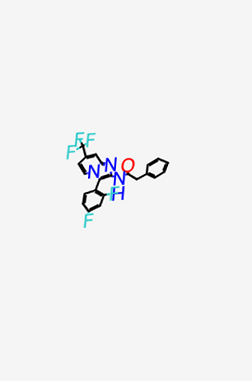 O=C(Cc1ccccc1)Nc1nc2cc(C(F)(F)F)ccn2c1-c1ccc(F)cc1F